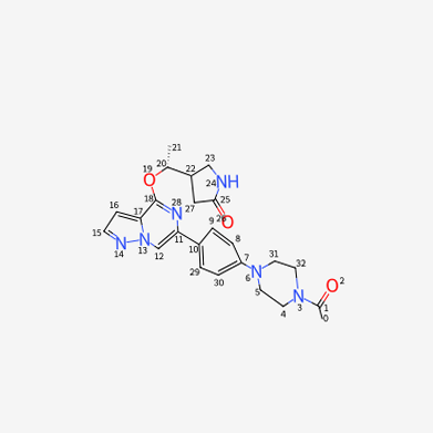 CC(=O)N1CCN(c2ccc(-c3cn4nccc4c(O[C@H](C)C4CNC(=O)C4)n3)cc2)CC1